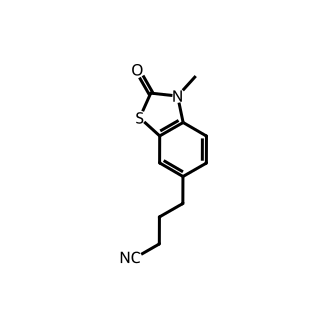 Cn1c(=O)sc2cc(CCCC#N)ccc21